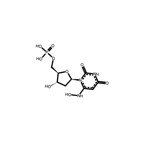 O=c1cc(NO)n([C@H]2C[C@H](O)[C@@H](COP(=O)(O)O)O2)c(=O)[nH]1